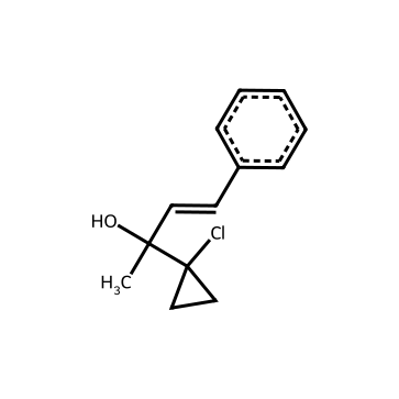 CC(O)(C=Cc1ccccc1)C1(Cl)CC1